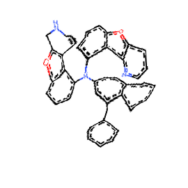 C1=Cc2c(oc3cccc(N(c4cc(-c5ccccc5)c5ccccc5c4)c4cccc5oc6cccnc6c45)c23)CN1